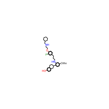 COc1ccc(C2CCc3cc(O)ccc3C2)c(NCCCc2ccc(OCCNCC3CCCCC3)c(F)c2)c1